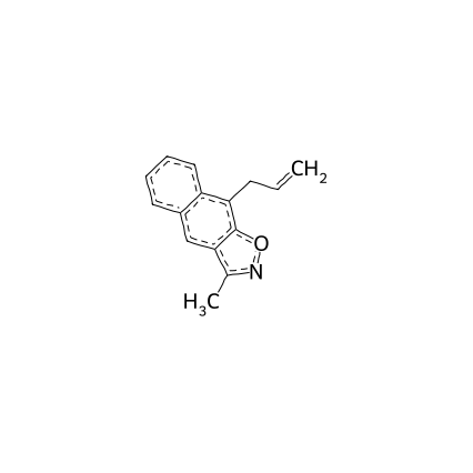 C=CCc1c2ccccc2cc2c(C)noc12